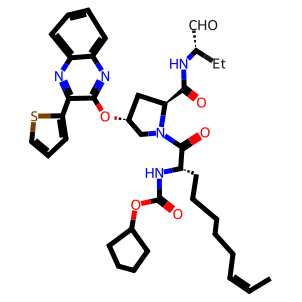 C/C=C\CCCCC[C@H](NC(=O)OC1CCCC1)C(=O)N1C[C@H](Oc2nc3ccccc3nc2-c2cccs2)C[C@H]1C(=O)N[C@H](C=O)CC